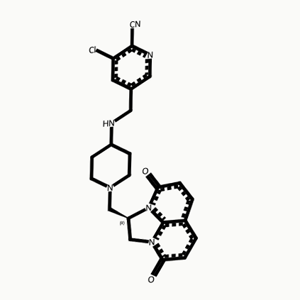 N#Cc1ncc(CNC2CCN(C[C@@H]3Cn4c(=O)ccc5ccc(=O)n3c54)CC2)cc1Cl